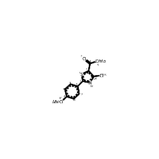 COC(=O)c1sc(-c2ccc(OC)cc2)nc1Cl